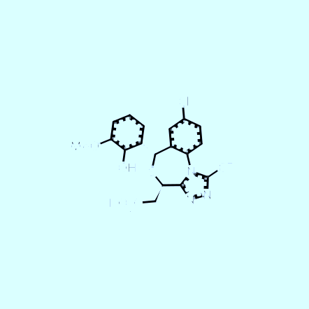 COc1cccc([C@H]2S[C@H](CC(=O)O)c3nnc(C(F)(F)F)n3-c3ccc(Cl)cc32)c1O